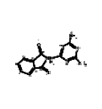 Nc1nc(N)nc(N)n1.O=C1NC(=O)c2ccccc21